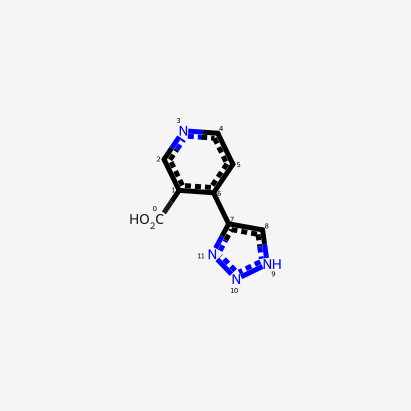 O=C(O)c1cnccc1-c1c[nH]nn1